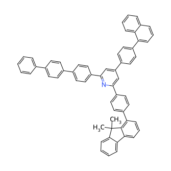 CC1(C)c2ccccc2-c2cccc(-c3ccc(-c4cc(-c5ccc(-c6cccc7ccccc67)cc5)cc(-c5ccc(-c6ccc(-c7ccccc7)cc6)cc5)n4)cc3)c21